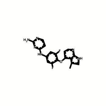 Cc1c[nH]c2nccc(Oc3c(F)cc(Nc4ccnc(N)n4)cc3F)c12